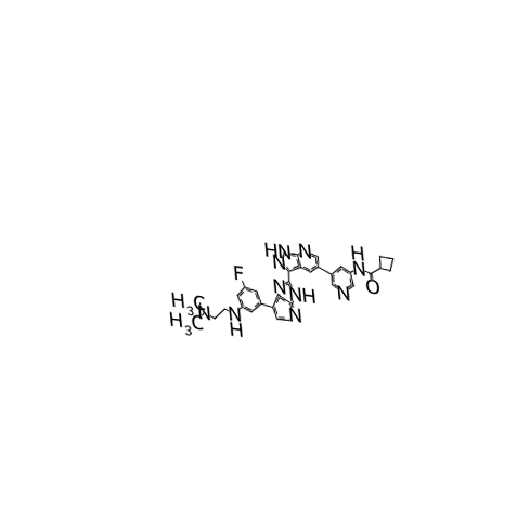 CN(C)CCNc1cc(F)cc(-c2ccnc3[nH]c(-c4n[nH]c5ncc(-c6cncc(NC(=O)C7CCC7)c6)cc45)nc23)c1